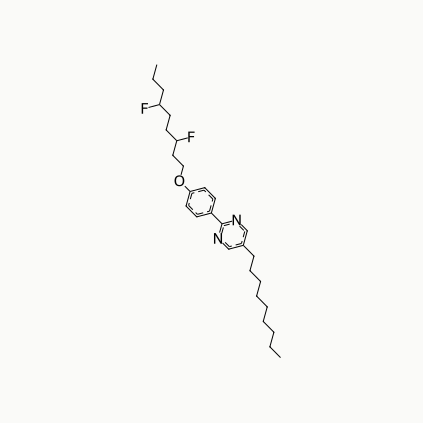 CCCCCCCCCc1cnc(-c2ccc(OCCC(F)CCC(F)CCC)cc2)nc1